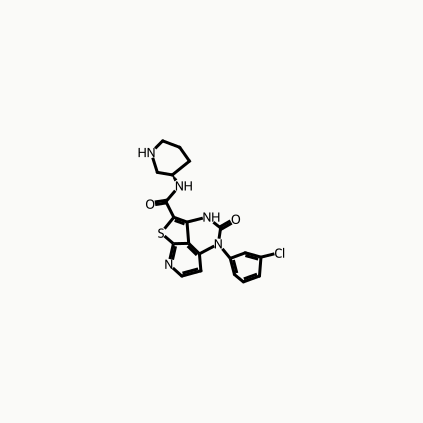 O=C(N[C@@H]1CCCNC1)c1sc2nccc3c2c1NC(=O)N3c1cccc(Cl)c1